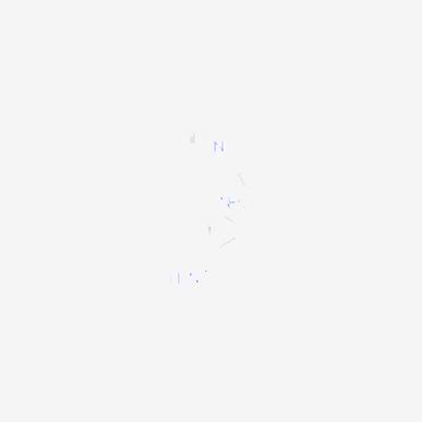 CC(C)N1CCC/C(=C/c2nc3ccc(CC(C)(C)N)cc3s2)CC1